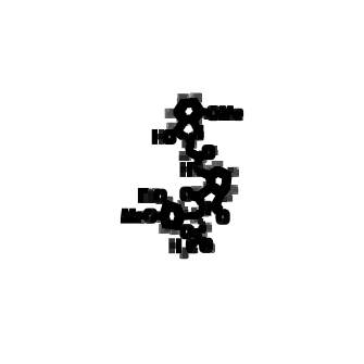 CCOc1cc([C@@H](CS(C)(=O)=O)N2C(=O)c3cccc(NC(=O)CN4Sc5c(OC)cccc5C4O)c3C2=O)ccc1OC